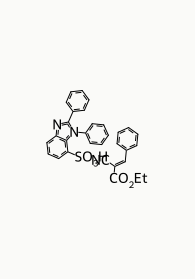 CCOC(=O)C(C#N)=Cc1ccccc1.O=S(=O)(O)c1cccc2nc(-c3ccccc3)n(-c3ccccc3)c12